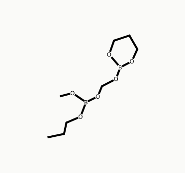 CCCOB(OC)OCOB1OCCCO1